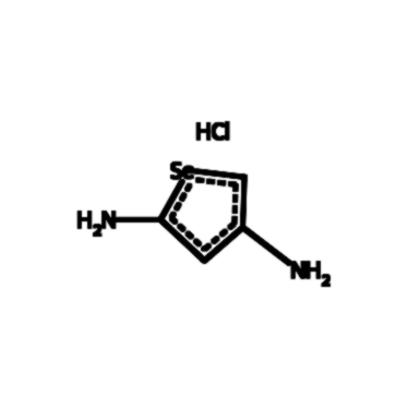 Cl.Nc1c[se]c(N)c1